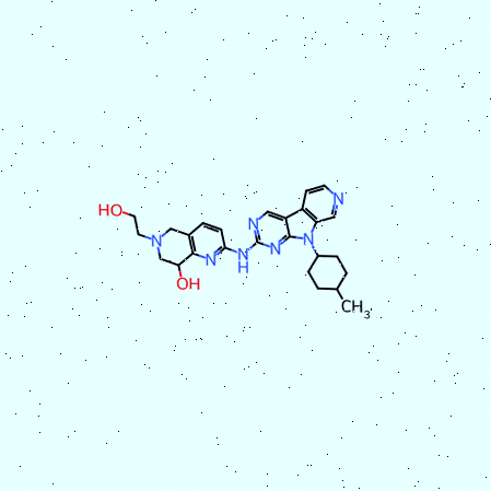 CC1CCC(n2c3cnccc3c3cnc(Nc4ccc5c(n4)C(O)CN(CCO)C5)nc32)CC1